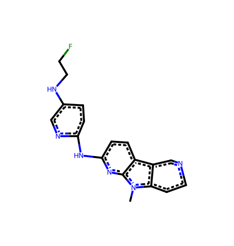 Cn1c2ccncc2c2ccc(Nc3ccc(NCCF)cn3)nc21